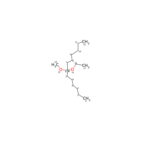 CCCCCC[Si](CCCCCC)(OC)OCC